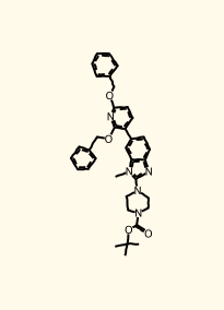 Cn1c(N2CCN(C(=O)OC(C)(C)C)CC2)nc2ccc(-c3ccc(OCc4ccccc4)nc3OCc3ccccc3)cc21